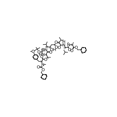 COc1ccc(C[C@@H](C(=O)O[C@H](C)[C@H](NC(=O)OC(C)(C)C)C(=O)N[C@H](C(C)C)[C@@H](O)CC(=O)O[C@H](C(=O)N[C@@H](CC(C)C)C(=O)N(C)[C@@H](C)C(=O)OCc2ccccc2)C(C)C)N(C)C(=O)OCc2ccccc2)cc1